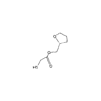 O=C(CS)OCC1CCCO1